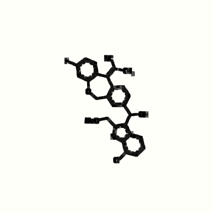 COCc1nc2c(Cl)cccn2c1C(O)c1ccc2c(c1)COc1cc(F)ccc1/C2=C(/C)C#N